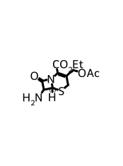 CCOC(=O)C1=C(COC(C)=O)CS[C@@H]2C(N)C(=O)N12